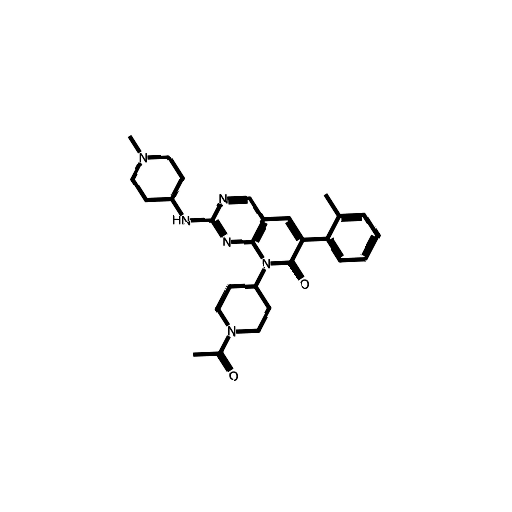 CC(=O)N1CCC(n2c(=O)c(-c3ccccc3C)cc3cnc(NC4CCN(C)CC4)nc32)CC1